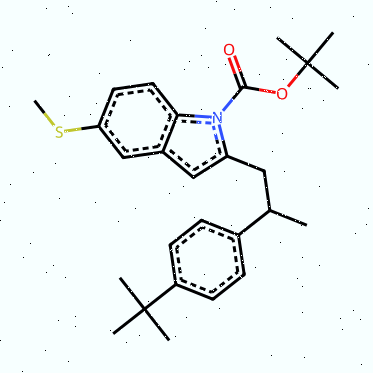 CSc1ccc2c(c1)cc(CC(C)c1ccc(C(C)(C)C)cc1)n2C(=O)OC(C)(C)C